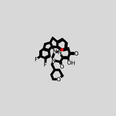 O=C1c2c(O)c(=O)ccn2N(C23c4ccccc4CC2Cc2cc(F)c(F)cc23)CN1CC1CCOCC1